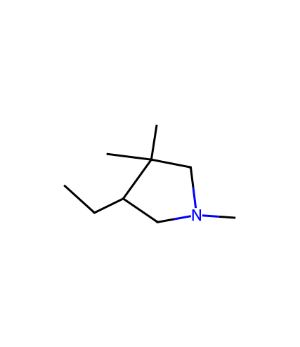 CCC1CN(C)CC1(C)C